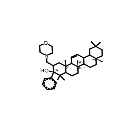 CC1(C)CC[C@]2(C)CC[C@]3(C)C(C=CC4[C@@]5(C)CC(CN6CCOCC6)[C@@](O)(c6ccccc6)C(C)(C)C5CC[C@]43C)C2C1